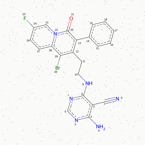 N#Cc1c(N)ncnc1NCCc1c(-c2ccccc2)c(=O)n2cc(F)ccc2c1Br